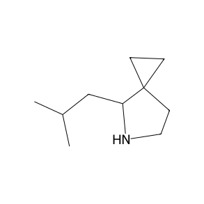 CC(C)CC1NCCC12CC2